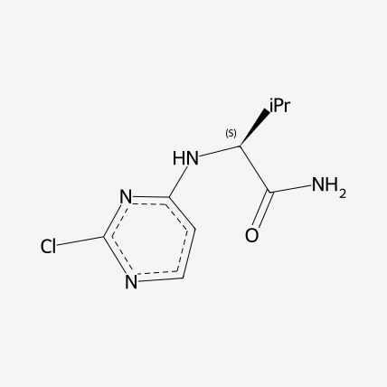 CC(C)[C@H](Nc1ccnc(Cl)n1)C(N)=O